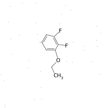 CCOc1c[c]cc(F)c1F